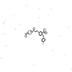 CC(=O)N1CCN(C(=O)C=Cc2ccc(Sc3ccc(C)cc3)c([N+](=O)[O-])c2)CC1